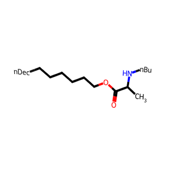 CCCCCCCCCCCCCCCCOC(=O)C(C)NCCCC